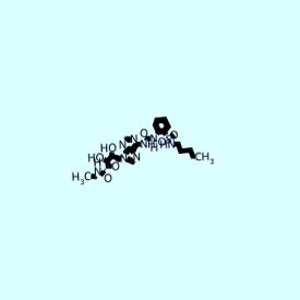 CCCCCNS(=O)(=O)c1ccccc1NC(=O)Nc1ncnc2c1ncn2[C@@H]1O[C@H](C(=O)NCC)C(O)C1O